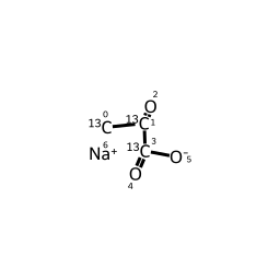 [13CH3][13C](=O)[13C](=O)[O-].[Na+]